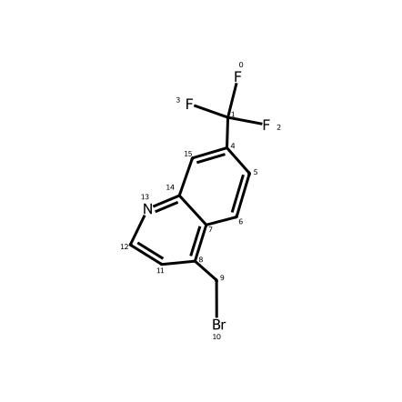 FC(F)(F)c1ccc2c(CBr)ccnc2c1